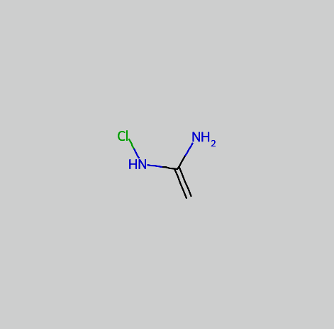 C=C(N)NCl